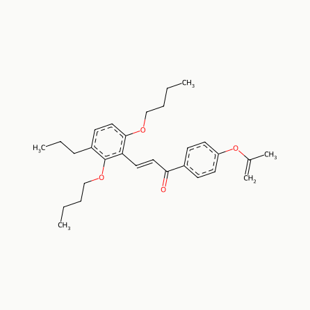 C=C(C)Oc1ccc(C(=O)C=Cc2c(OCCCC)ccc(CCC)c2OCCCC)cc1